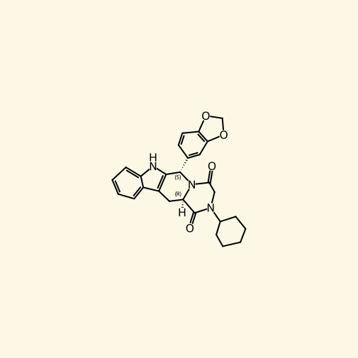 O=C1[C@H]2Cc3c([nH]c4ccccc34)[C@H](c3ccc4c(c3)OCO4)N2C(=O)CN1C1CCCCC1